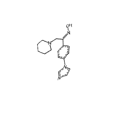 O/N=C(\CN1CCCCC1)c1ccc(-n2ccnc2)cc1